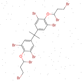 CC(C)(c1cc(Br)c(OC(Br)CCBr)c(Br)c1)c1cc(Br)c(OC(Br)CCBr)c(Br)c1